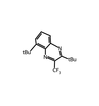 CC(C)(C)c1nc2cccc(C(C)(C)C)c2nc1C(F)(F)F